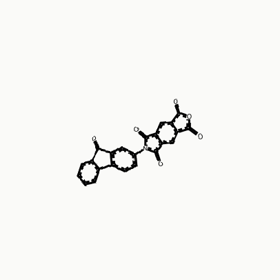 O=C1c2ccccc2-c2ccc(-n3c(=O)c4cc5c(=O)oc(=O)c5cc4c3=O)cc21